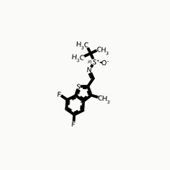 Cc1c(C=N[S@@+]([O-])C(C)(C)C)sc2c(F)cc(F)cc12